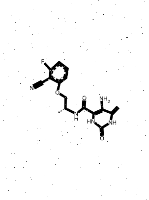 C=C1NC(=O)NC(C(=O)N[C@H](C)COc2cccc(F)c2C#N)=C1N